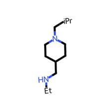 CCNCC1CCN(CC(C)C)CC1